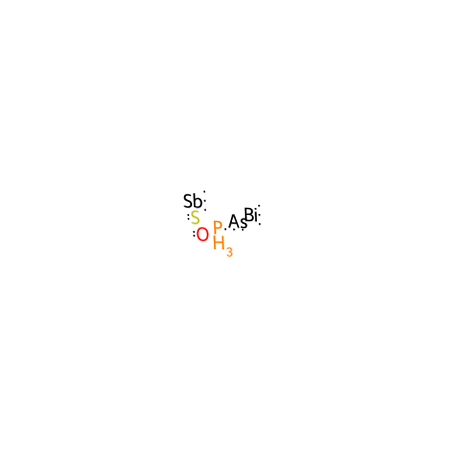 P.[As].[Bi].[O].[S].[Sb]